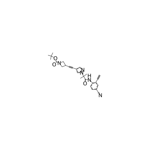 C#Cc1cc(C#N)ccc1NC(=O)C(C)(C)n1cc(C#CC2CN(C(=O)OC(C)(C)C)C2)cn1